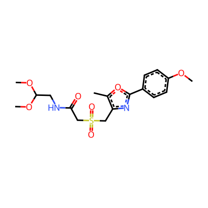 COc1ccc(-c2nc(CS(=O)(=O)CC(=O)NCC(OC)OC)c(C)o2)cc1